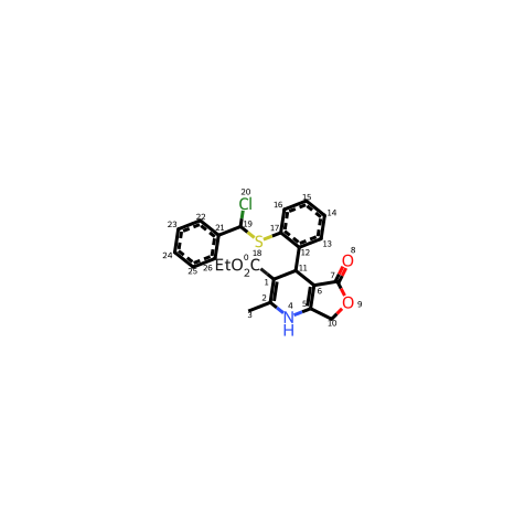 CCOC(=O)C1=C(C)NC2=C(C(=O)OC2)C1c1ccccc1SC(Cl)c1ccccc1